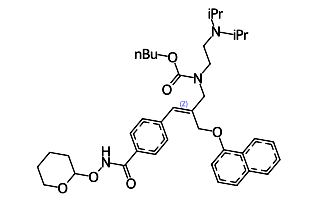 CCCCOC(=O)N(CCN(C(C)C)C(C)C)C/C(=C/c1ccc(C(=O)NOC2CCCCO2)cc1)COc1cccc2ccccc12